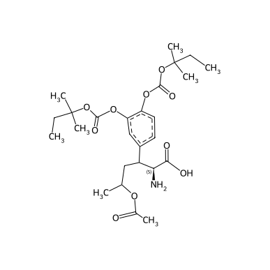 CCC(C)(C)OC(=O)Oc1ccc(C(CC(C)OC(C)=O)[C@H](N)C(=O)O)cc1OC(=O)OC(C)(C)CC